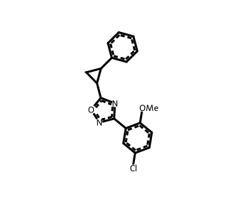 COc1ccc(Cl)cc1-c1noc(C2CC2c2ccccc2)n1